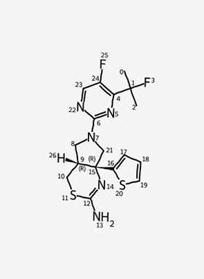 CC(C)(F)c1nc(N2C[C@H]3CSC(N)=N[C@@]3(c3cccs3)C2)ncc1F